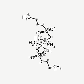 CCCCS(=O)(=O)O[Si](C)(C)[Si](C)(C)OS(=O)(=O)CCCC